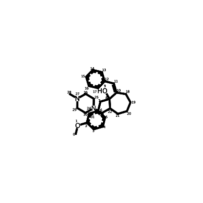 COc1cccc(CC2(O)/C(=C\c3ccccc3)CCCCC2CN2CCN(C)CC2)c1